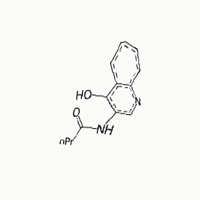 CCCC(=O)Nc1cnc2ccccc2c1O